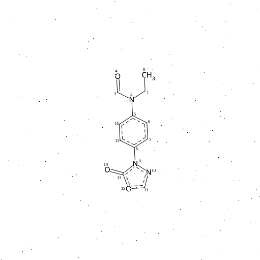 CCN(C=O)c1ccc(-n2ncoc2=O)cc1